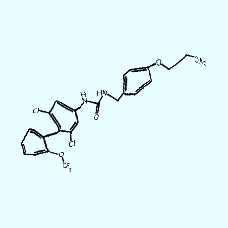 CC(=O)OCCOc1ccc(CNC(=O)Nc2cc(Cl)c(-c3ccccc3OC(F)(F)F)c(Cl)c2)cc1